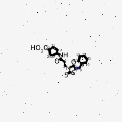 O=C(CCN1C(=O)/C(=C\c2ccccc2)SC1=S)Nc1ccc(C(=O)O)cc1